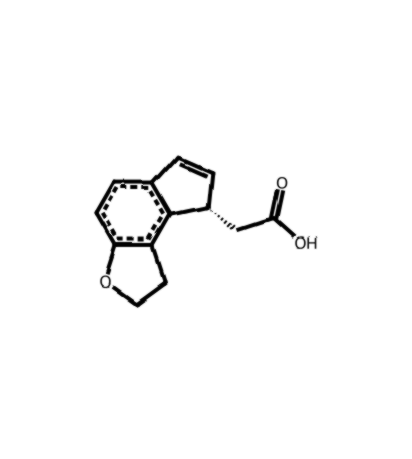 O=C(O)C[C@H]1C=Cc2ccc3c(c21)CCO3